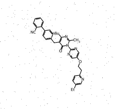 CCCCc1nc(C)n(-c2ncc(OCCc3ccc(CC)cn3)cn2)c(=O)c1Cc1ccc(-c2ccccc2C#N)cc1